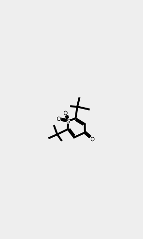 CC(C)(C)C1=CC(=O)C=C(C(C)(C)C)S1(=O)=O